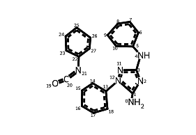 Nc1nc(Nc2ccccc2)nn1-c1ccccc1.O=C=Nc1ccccc1